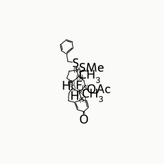 CS[C@]1(SCc2ccccc2)CC[C@H]2[C@@H]3CCC4=CC(=O)C=C[C@]4(C)[C@@]3(F)[C@@H](OC(C)=O)C[C@@]21C